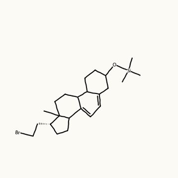 CC12CCC3C(=CC=C4CC(O[Si](C)(C)C)CCC43)C1CC[C@@H]2CCBr